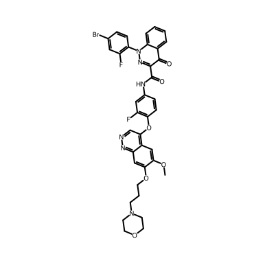 COc1cc2c(Oc3ccc(NC(=O)c4nn(-c5ccc(Br)cc5F)c5ccccc5c4=O)cc3F)cnnc2cc1OCCCN1CCOCC1